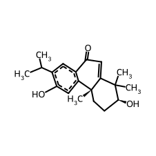 CC(C)c1cc2c(cc1O)[C@@]1(C)CC[C@H](O)C(C)(C)C1=CC2=O